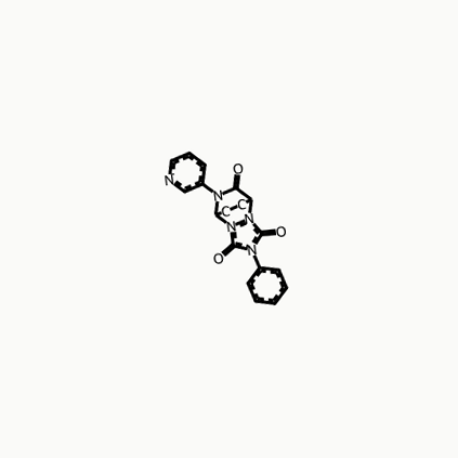 O=C1C2CCC(N1c1cccnc1)n1c(=O)n(-c3ccccc3)c(=O)n12